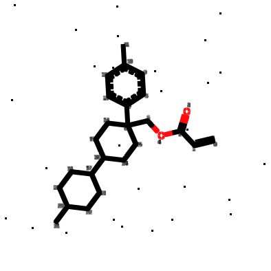 C=CC(=O)OCC1(c2ccc(C)cc2)CCC(C2CCC(C)CC2)CC1